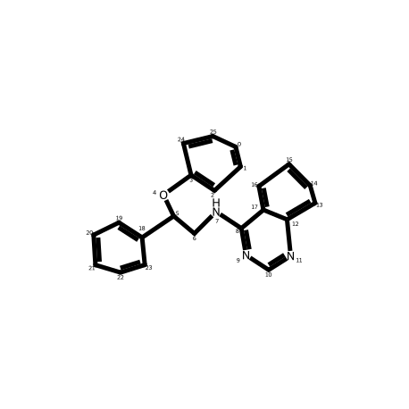 c1ccc(OC(CNc2ncnc3ccccc23)c2ccccc2)cc1